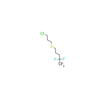 FC(F)(F)C(F)(F)CCCSCCCCl